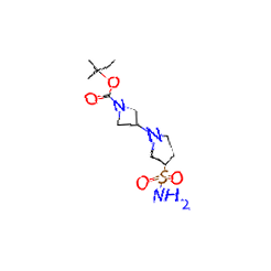 CC(C)(C)OC(=O)N1CC(N2CCC(S(N)(=O)=O)C2)C1